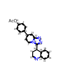 CC(=O)Oc1ccc(-c2ccn3c(C4CC=Nc5ccccc54)nnc3c2)cc1